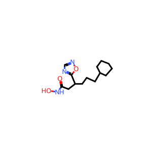 O=C(CC(CCCC1CCCCC1)c1ncno1)NO